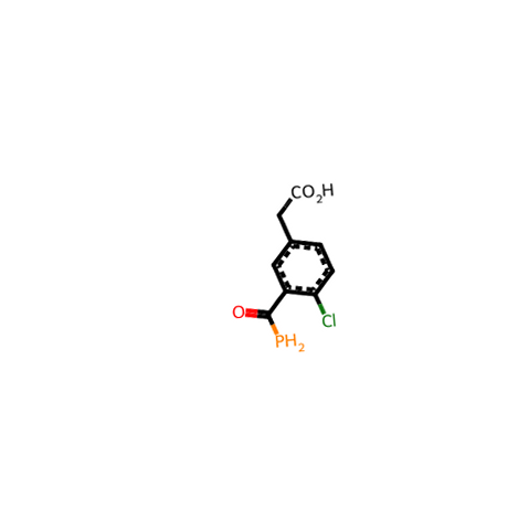 O=C(O)Cc1ccc(Cl)c(C(=O)P)c1